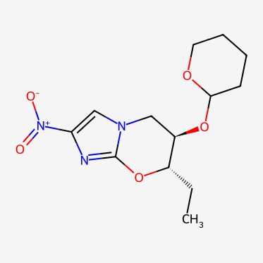 CC[C@@H]1Oc2nc([N+](=O)[O-])cn2C[C@H]1OC1CCCCO1